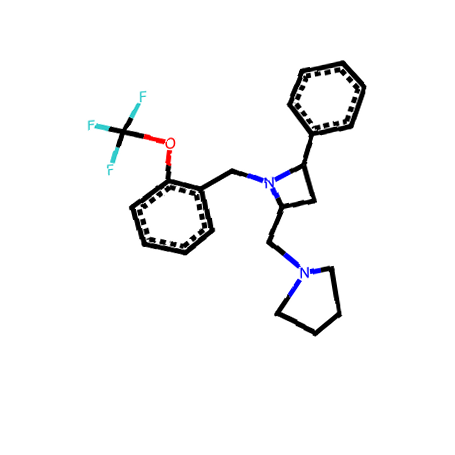 FC(F)(F)Oc1ccccc1CN1C(CN2CCCC2)CC1c1ccccc1